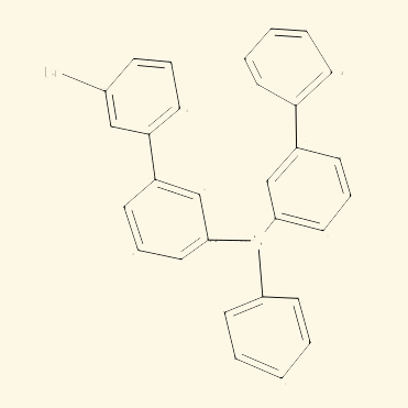 Brc1cccc(-c2cccc(N(c3ccccc3)c3cccc(-c4ccccc4)c3)c2)c1